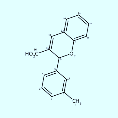 Cc1cccc(C2Oc3ccccc3C=C2C(=O)O)c1